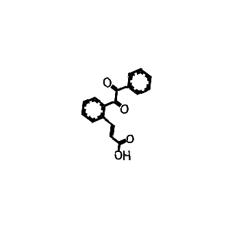 O=C(O)C=Cc1ccccc1C(=O)C(=O)c1ccccc1